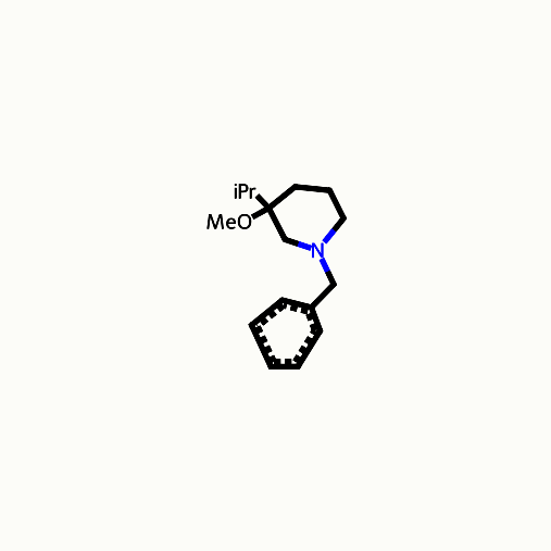 COC1(C(C)C)CCCN(Cc2ccccc2)C1